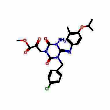 COC(=O)C(=O)Cn1c(=O)n(N)/c(=N\c2ccc(OC(C)C)c(C)c2)n(Cc2ccc(Cl)cc2)c1=O